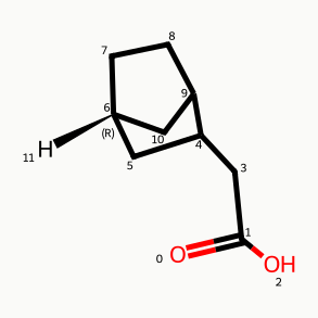 O=C(O)CC1C[C@@H]2CCC1C2